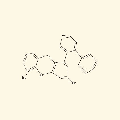 CCc1cccc2c1Oc1cc(Br)cc(-c3ccccc3-c3ccccc3)c1C2